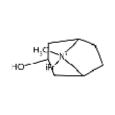 CC(C)[N+]1(C)C2CCC1CC(O)C2